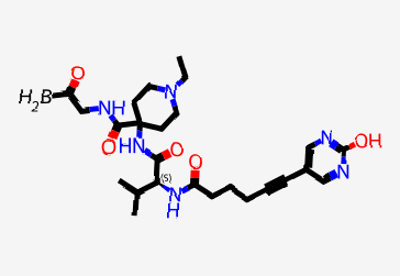 BC(=O)CNC(=O)C1(NC(=O)[C@@H](NC(=O)CCCC#Cc2cnc(O)nc2)C(C)C)CCN(CC)CC1